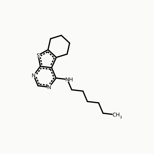 CCCCCCNc1ncnc2sc3c(c12)CCCC3